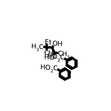 CCC(C)(C)C(O)C(C)O.O=C(O)c1ccccc1.O=C(O)c1ccccc1